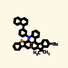 CC(C)(C)c1ccc2c(c1)C(C)(C)c1cccc(-c3ccccc3N(c3cccc(-c4cccc5ccccc45)c3)c3cccc4c3sc3ccccc34)c1-2